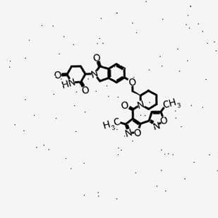 Cc1cc(-c2onc(C)c2C(=O)N2CCCC[C@@H]2COc2ccc3c(c2)CN(C2CCC(=O)NC2=O)C3=O)no1